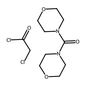 O=C(Cl)CCl.O=C(N1CCOCC1)N1CCOCC1